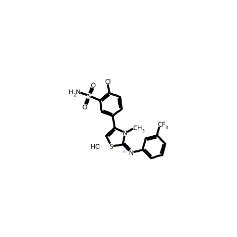 Cl.Cn1c(-c2ccc(Cl)c(S(N)(=O)=O)c2)cs/c1=N/c1cccc(C(F)(F)F)c1